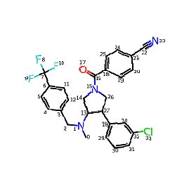 CN(Cc1ccc(C(F)(F)F)cc1)C1CN(C(=O)c2ccc(C#N)cc2)CC1c1cccc(Cl)c1